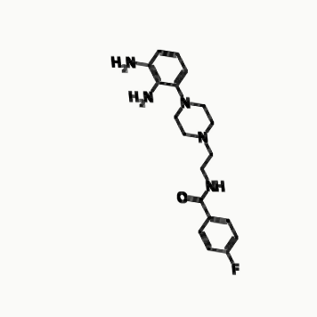 Nc1cccc(N2CCN(CCNC(=O)c3ccc(F)cc3)CC2)c1N